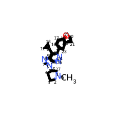 CN1CCC[C@@H](n2cnc3c(C4CC4)c(-c4ccc5occc5c4)nnc32)C1